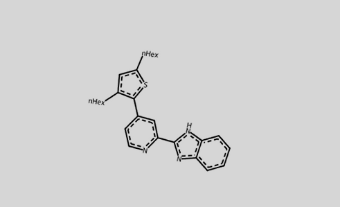 CCCCCCc1cc(CCCCCC)c(-c2ccnc(-c3nc4ccccc4[nH]3)c2)s1